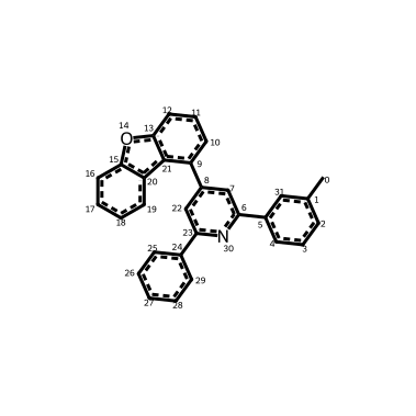 Cc1cccc(-c2cc(-c3cccc4oc5ccccc5c34)cc(-c3ccccc3)n2)c1